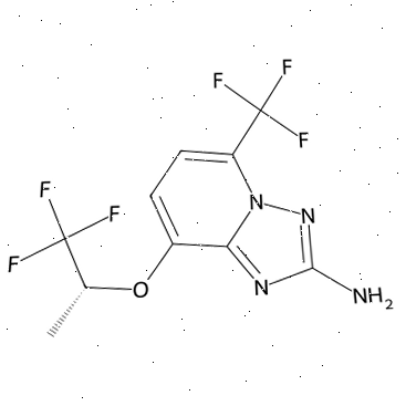 C[C@@H](Oc1ccc(C(F)(F)F)n2nc(N)nc12)C(F)(F)F